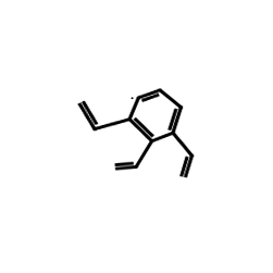 C=Cc1[c]ccc(C=C)c1C=C